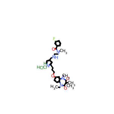 CCN1C(=O)C(C)(C)C(=O)N(C)c2cc(OCCCc3cc(CNCCN(C)C(=O)c4cccc(F)c4)ccn3)ccc21.Cl.Cl